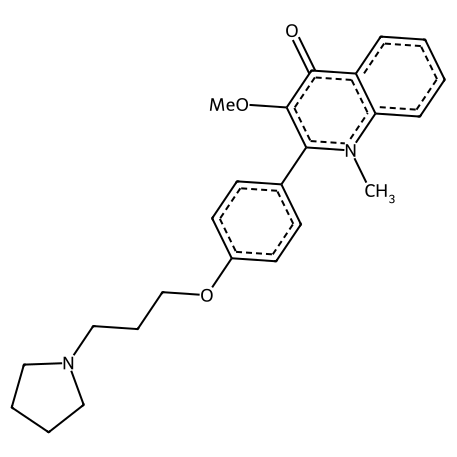 COc1c(-c2ccc(OCCCN3CCCC3)cc2)n(C)c2ccccc2c1=O